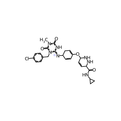 Cn1c(=O)[nH]/c(=N\C2C=CC(OC3C=CC(C(=O)NC4CC4)NN3)=CC2)n(Cc2ccc(Cl)cc2)c1=O